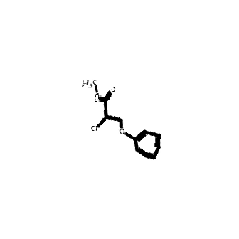 COC(=O)C(Cl)COc1ccccc1